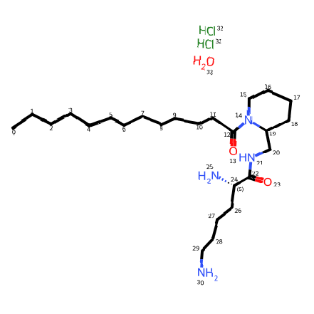 CCCCCCCCCCCCC(=O)N1CCCCC1CNC(=O)[C@@H](N)CCCCN.Cl.Cl.O